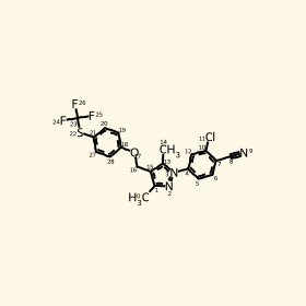 Cc1nn(-c2ccc(C#N)c(Cl)c2)c(C)c1COc1ccc(SC(F)(F)F)cc1